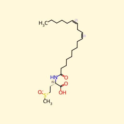 CCCCC/C=C\C/C=C\CCCCCCCC(=O)N[C@@H](CC[S+](C)[O-])C(=O)O